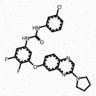 O=C(Nc1cccc(Cl)c1)Nc1cc(F)c(F)c(Oc2ccc3ncc(N4CCCC4)nc3c2)c1